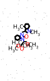 COCC(n1c(=O)n(Cc2cn(C)c3cccc(C)c23)c2ccccc21)C(C)(C)C(=O)OC